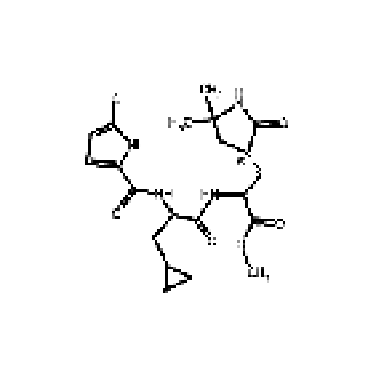 COC(=O)C(C[C@@H]1CC(C)(C)NC1=O)NC(=O)C(CC1CC1)NC(=O)c1ccc(Cl)[nH]1